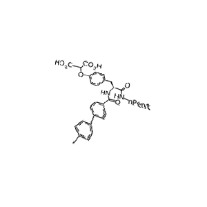 CCCCCNC(=O)[C@H](Cc1ccc(OC(C(=O)O)C(=O)O)cc1)NC(=O)c1ccc(-c2ccc(C)cc2)cc1